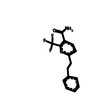 NC(=O)c1ccc(CCc2ccccc2)nc1C(F)(F)F